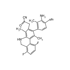 CCCc1ccc(-c2c(C)c3c(c(C)c2CC(=O)C#N)NCc2c(F)ccc(F)c2-3)c(C)c1N